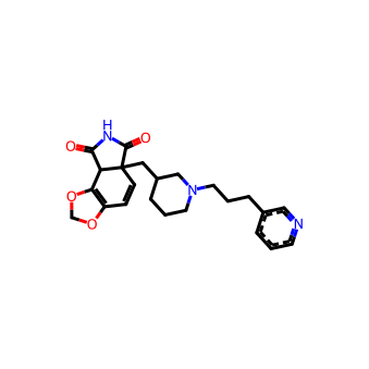 O=C1NC(=O)C2(CC3CCCN(CCCc4cccnc4)C3)C=CC3=C(OCO3)C12